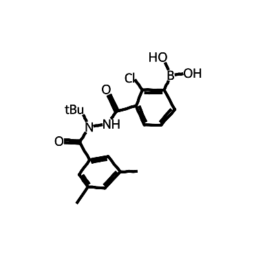 Cc1cc(C)cc(C(=O)N(NC(=O)c2cccc(B(O)O)c2Cl)C(C)(C)C)c1